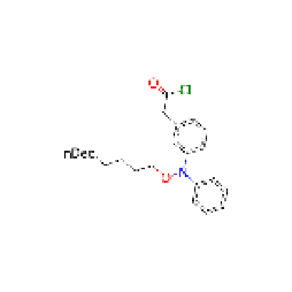 CCCCCCCCCCCCCCON(c1ccccc1)c1cccc(CC(=O)Cl)c1